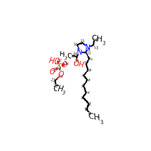 CCCCCCCCCCCC1N(CC)CCN1C(C)O.CCOS(=O)(=O)O